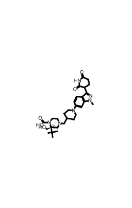 Cn1nc(C2CCC(=O)NC2=O)c2ccc(N3CCC(CN4CCN(C(=O)O)[C@@](CO)(C(C)(C)C)C4)CC3)cc21